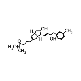 Cc1cccc(C[C@@H](O)/C=C/[C@@H]2[C@H]3CC(CCCC(=O)N(C)C)=C[C@H]3C[C@H]2O)c1